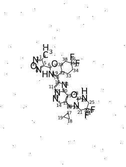 Cc1nonc1C(=O)N[C@H](c1cn2ncc([C@@H](C3CC3)N3CC(F)(F)CNC3=O)cc2n1)C1CCC(F)(F)CC1